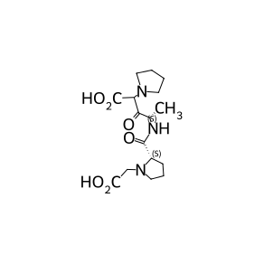 C[C@H](NC(=O)[C@@H]1CCCN1CC(=O)O)C(=O)C(C(=O)O)N1CCCC1